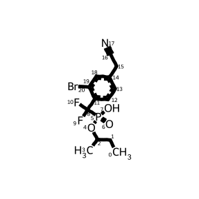 CCC(C)OP(=O)(O)C(F)(F)c1ccc(CC#N)cc1Br